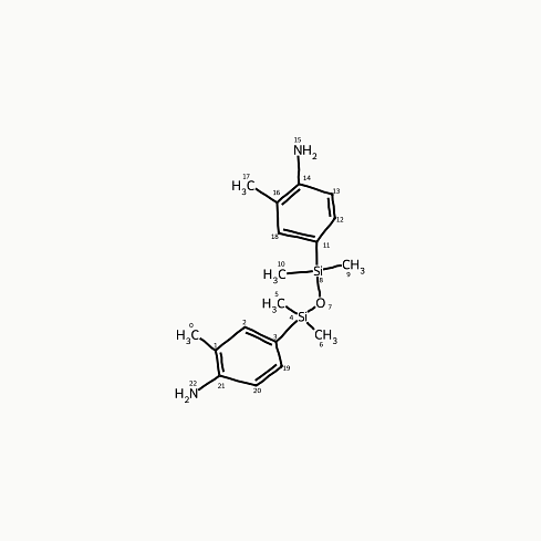 Cc1cc([Si](C)(C)O[Si](C)(C)c2ccc(N)c(C)c2)ccc1N